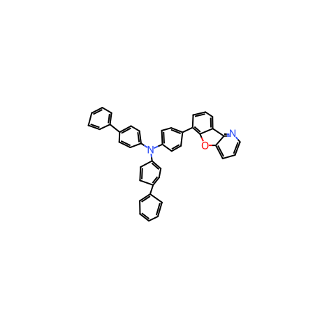 c1ccc(-c2ccc(N(c3ccc(-c4ccccc4)cc3)c3ccc(-c4cccc5c4oc4cccnc45)cc3)cc2)cc1